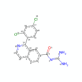 NC(N)=NC(=O)c1ccc2ccnc(-c3ccc(Cl)cc3Cl)c2c1